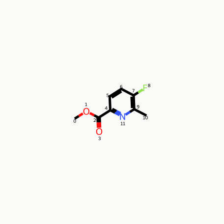 COC(=O)c1ccc(F)c(C)n1